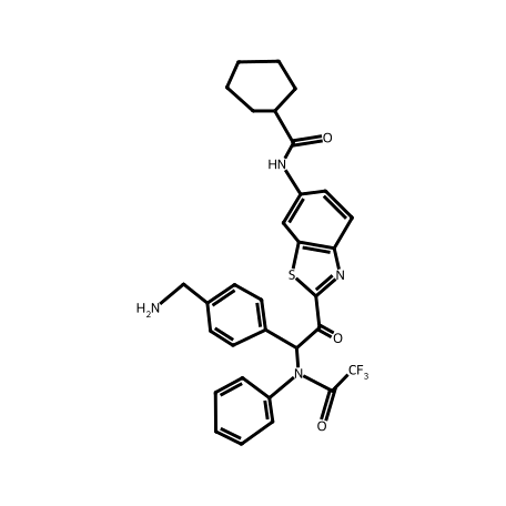 NCc1ccc(C(C(=O)c2nc3ccc(NC(=O)C4CCCCC4)cc3s2)N(C(=O)C(F)(F)F)c2ccccc2)cc1